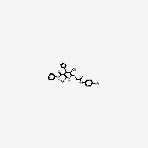 CCCc1ccc(NC(=O)CSC2=C(C#N)C(c3ccsc3)C(C(=O)Nc3ccccc3)=C(C)N2)cc1